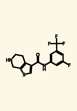 O=C(Nc1cc(F)cc(C(F)(F)F)c1)c1csc2c1CCNC2